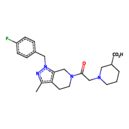 Cc1nn(Cc2ccc(F)cc2)c2c1CCN(C(=O)CN1CCCC(C(=O)O)C1)C2